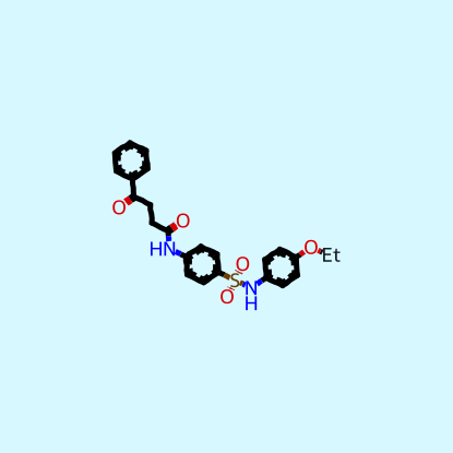 CCOc1ccc(NS(=O)(=O)c2ccc(NC(=O)CCC(=O)c3ccccc3)cc2)cc1